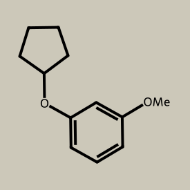 COc1cccc(OC2CCCC2)c1